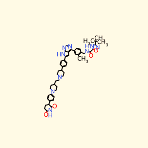 Cc1cc(-c2ncnc3[nH]c(-c4ccc(C5CCN(CCC6CCN(c7ccc(C8CCC(=O)NC8=O)cc7)CC6)CC5)cc4)cc23)ccc1CNC(=O)c1nc(C(C)(C)C)no1